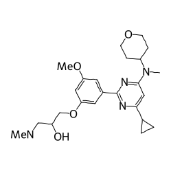 CNCC(O)COc1cc(OC)cc(-c2nc(C3CC3)cc(N(C)C3CCOCC3)n2)c1